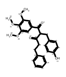 COc1cc(C(=O)C(Cc2ccc(O)cc2)C(=O)CCc2ccccc2)cc(OC)c1OC